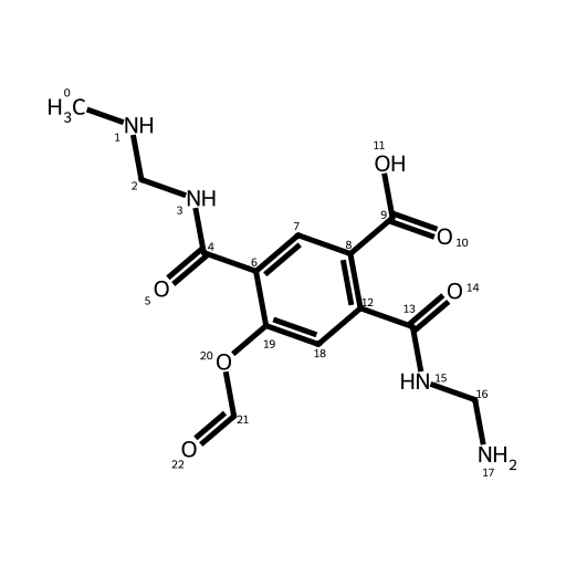 CNCNC(=O)c1cc(C(=O)O)c(C(=O)NCN)cc1OC=O